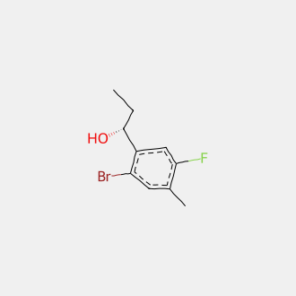 CC[C@@H](O)c1cc(F)c(C)cc1Br